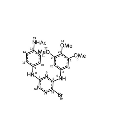 COc1cc(Nc2nc(Nc3ccc(NC(C)=O)cc3)ncc2Br)cc(OC)c1OC